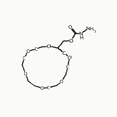 NNC(=O)OCC1COCCOCCOCCOCCOCCO1